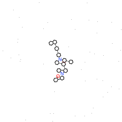 c1ccc(-c2ccc(N(c3ccc(-c4ccc(-c5cccc6ccccc56)cc4)cc3)c3ccccc3-c3cccc(-c4cccc5c4c4ccccc4n5-c4cccc5c4oc4ccccc45)c3)cc2)cc1